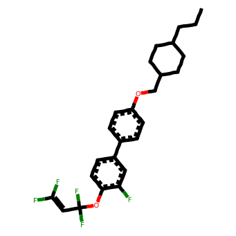 CCCC1CCC(COc2ccc(-c3ccc(OC(F)(F)C=C(F)F)c(F)c3)cc2)CC1